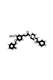 COc1cc(/C=C/C(=O)N2CCN(CC(=O)c3ccccc3)CC2)ccc1OCc1ccccc1F